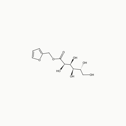 O=C(OCc1ccco1)[C@H](O)[C@@H](O)[C@H](O)[C@H](O)CO